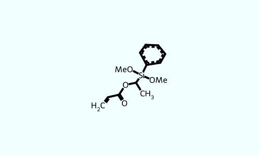 C=CC(=O)OC(C)[Si](OC)(OC)c1ccccc1